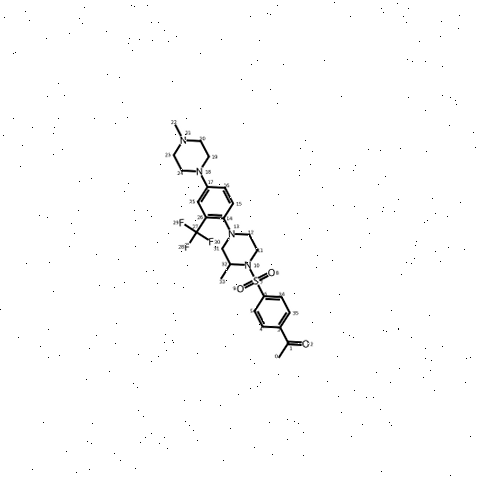 CC(=O)c1ccc(S(=O)(=O)N2CCN(c3ccc(N4CCN(C)CC4)cc3C(F)(F)F)CC2C)cc1